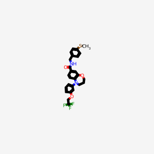 CSc1ccc(CNC(=O)c2ccc3c(c2)OCCCN3c2cccc(OCC(F)(F)F)c2)cc1